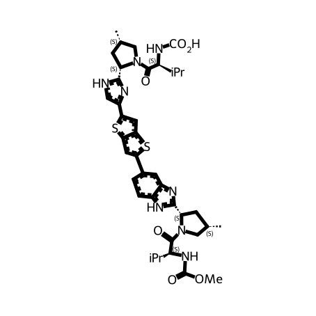 COC(=O)N[C@H](C(=O)N1C[C@@H](C)C[C@H]1c1nc2cc(-c3cc4sc(-c5c[nH]c([C@@H]6C[C@H](C)CN6C(=O)[C@@H](NC(=O)O)C(C)C)n5)cc4s3)ccc2[nH]1)C(C)C